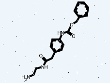 NCCNC(=O)Cc1ccc(NC(=O)OCc2ccccc2)cc1